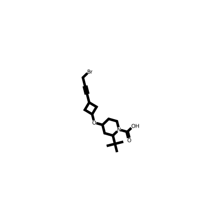 CC(C)(C)C1CC(OC2CC(C#CCBr)C2)CCN1C(=O)O